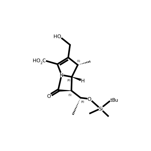 C[C@@H](O[Si](C)(C)C(C)(C)C)[C@H]1C(=O)N2C(C(=O)O)=C(CO)[C@H](C)[C@H]12